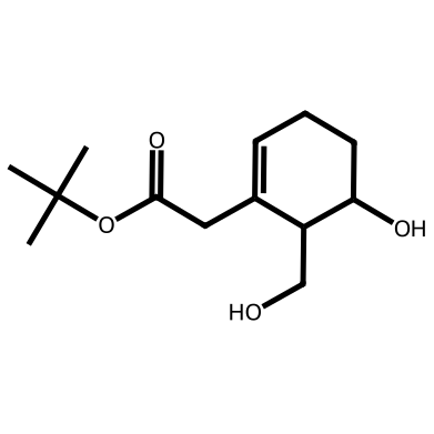 CC(C)(C)OC(=O)CC1=CCCC(O)C1CO